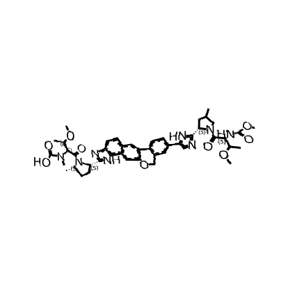 COC(=O)N[C@H](C(=O)N1CC(C)C[C@H]1c1ncc(-c2ccc3c(c2)COc2cc4c(ccc5nc([C@@H]6CC[C@H](C)N6C(=O)[C@H]([C@@H](C)OC)N(C)C(=O)O)[nH]c54)cc2-3)[nH]1)C(C)OC